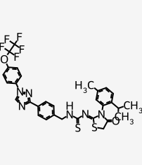 Cc1ccc(C(C)C)c(N2C(=O)CS/C2=N\C(=S)NCc2ccc(-c3ncn(-c4ccc(OC(F)(F)C(F)(F)F)cc4)n3)cc2)c1